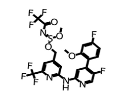 COc1cc(F)ccc1-c1cc(Nc2cc(COS(=NC(=O)C(F)(F)F)OC)cc(C(F)(F)F)n2)ncc1F